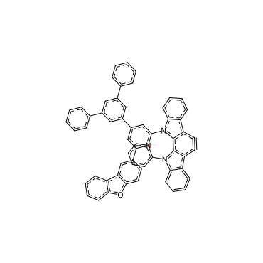 C1=C=c2c(n(-c3ccccc3)c3c2c#cc2c4ccccc4n(-c4cc(-c5cc(-c6ccccc6)cc(-c6ccccc6)c5)cc(-c5ccc6oc7ccccc7c6c5)n4)c23)=CC=1